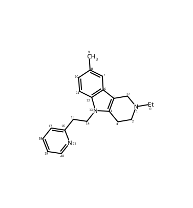 CCN1CCc2c(c3cc(C)ccc3n2CCc2ccccn2)C1